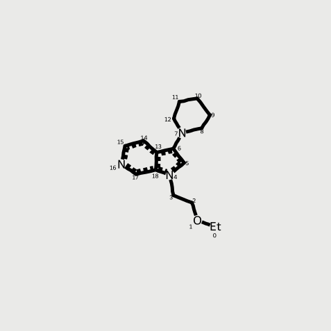 CCOCCn1cc(N2CCCCC2)c2ccncc21